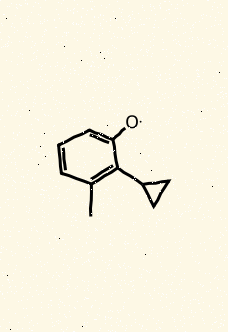 Cc1cccc([O])c1C1CC1